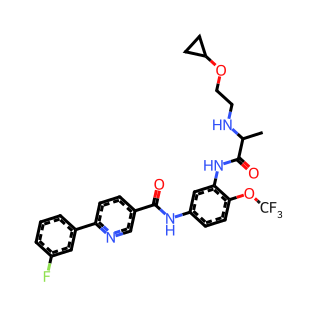 CC(NCCOC1CC1)C(=O)Nc1cc(NC(=O)c2ccc(-c3cccc(F)c3)nc2)ccc1OC(F)(F)F